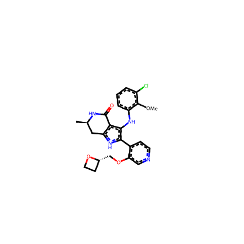 COc1c(Cl)cccc1Nc1c(-c2ccncc2OC[C@@H]2CCO2)[nH]c2c1C(=O)N[C@H](C)C2